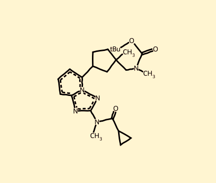 CN(CC1(C)CCC(c2cccc3nc(N(C)C(=O)C4CC4)nn23)C1)C(=O)OC(C)(C)C